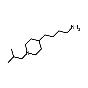 C[C](C)CN1CCC(CCCCN)CC1